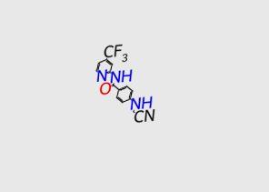 N#CCNc1ccc(C(=O)Nc2cc(C(F)(F)F)ccn2)cc1